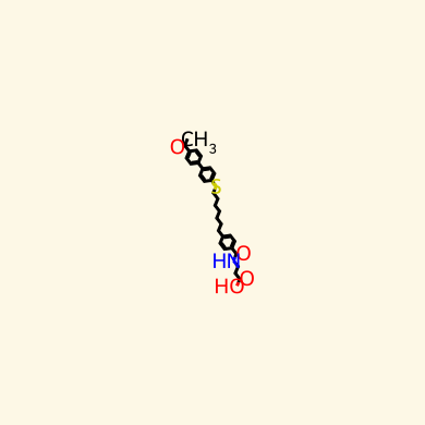 CC(=O)c1ccc(-c2ccc(SCCCCCCCc3ccc(C(=O)NCCC(=O)O)cc3)cc2)cc1